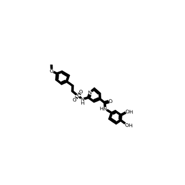 COc1ccc(CCS(=O)(=O)Nc2cc(C(=O)Nc3ccc(O)c(O)c3)ccn2)cc1